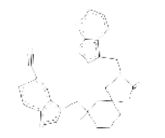 CC1(Cn2cnc3ccc(C#N)cc32)CCCC2(CN(Cc3csc4ncccc34)C(=O)O2)C1